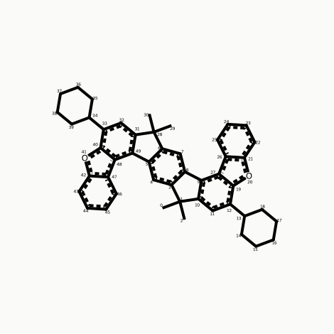 CC1(C)c2cc3c(cc2-c2c1cc(C1CCCCC1)c1oc4ccccc4c21)C(C)(C)c1cc(C2CCCCC2)c2oc4ccccc4c2c1-3